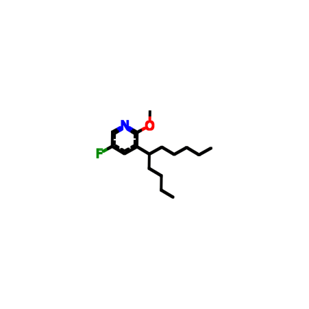 CCCCCC(CCCC)c1cc(F)cnc1OC